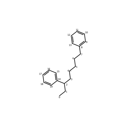 CCC(C[CH]CCCc1ccccc1)c1ccccc1